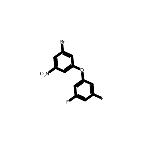 O=[N+]([O-])c1cc(Br)cc(Oc2cc(F)cc(F)c2)c1